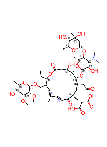 CC[C@H]1OC(=O)C[C@@H](O)[C@H](C)[C@@H](O[C@@H]2O[C@H](C)[C@@H](O[C@H]3C[C@@](C)(O)[C@@H](O)[C@H](C)O3)[C@H](N(C)C)[C@H]2O)[C@@H](CC=O)C[C@@H](C)C(=O)/C=C/C(C)=C/C1CO[C@@H]1O[C@H](C)[C@@H](O)[C@@H](OC)[C@H]1OC.O=C(O)CC(=O)O